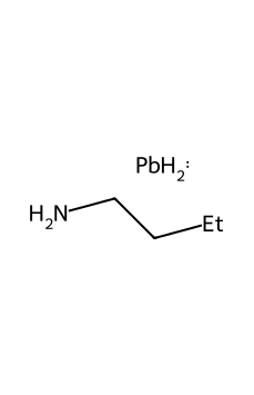 CCCCN.[PbH2]